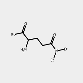 CCC(=O)C(N)CCC(=O)N(CC)CC